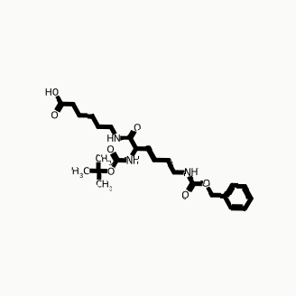 CC(C)(C)OC(=O)NC(CCCCNC(=O)OCc1ccccc1)C(=O)NCCCCCC(=O)O